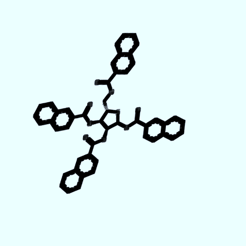 O=C(OC[C@@H]1SC(OC(=O)c2ccc3ccccc3c2)[C@@H](OC(=O)c2ccc3ccccc3c2)[C@H]1OC(=O)c1ccc2ccccc2c1)c1ccc2ccccc2c1